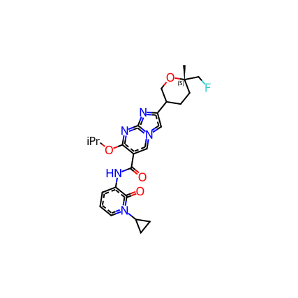 CC(C)Oc1nc2nc(C3CC[C@@](C)(CF)OC3)cn2cc1C(=O)Nc1cccn(C2CC2)c1=O